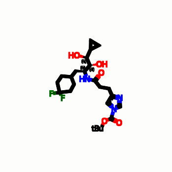 CC(C)(C)OC(=O)n1cnc(CCC(=O)N[C@@H](CC2CCC(F)(F)CC2)[C@@H](O)[C@@H](O)C2CC2)c1